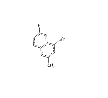 Cc1cc(C(C)C)c2cc(F)ccc2c1